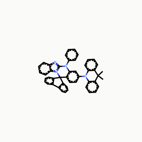 CC1(C)c2ccccc2N(c2ccc3c(c2)N(c2ccccc2)c2nc4ccccc4n2C32c3ccccc3-c3ccccc32)c2ccccc21